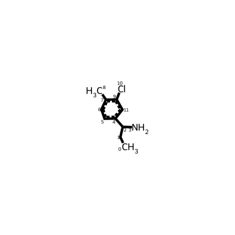 CCC(N)c1ccc(C)c(Cl)c1